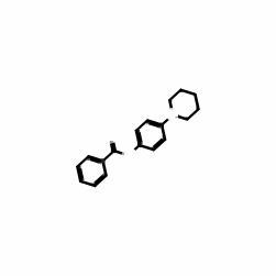 O=C(Oc1ccc([S+]2CCCCC2)cc1)c1ccccc1